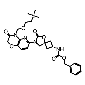 C[Si](C)(C)CCOCN1C(=O)COc2ccc(N3C[C@]4(C[C@H](NC(=O)OCc5ccccc5)C4)OC3=O)nc21